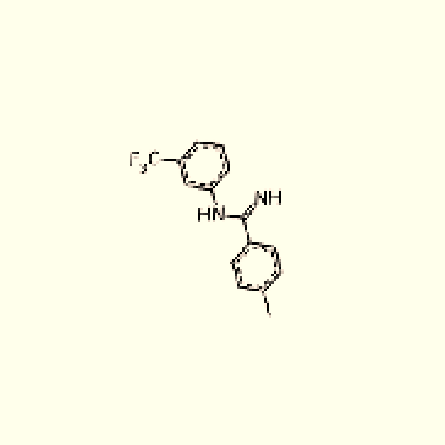 Cc1ccc(C(=N)Nc2cccc(C(F)(F)F)c2)cc1